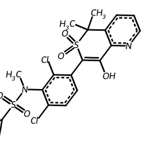 CN(c1c(Cl)ccc(C2=C(O)c3ncccc3C(C)(C)S2(=O)=O)c1Cl)S(=O)(=O)C1CC1